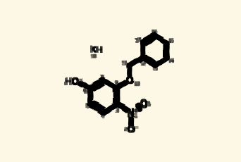 O=[N+]([O-])c1ccc(O)cc1OCc1ccccc1.[KH]